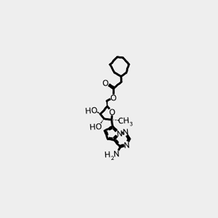 C[C@@]1(c2ccc3c(N)ncnn23)O[C@H](COC(=O)CC2CCCCCC2)[C@@H](O)[C@H]1O